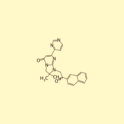 CC1(C)Cn2c(nc(-c3ccncn3)cc2=O)N1CC(=O)c1ccc2ccccc2c1